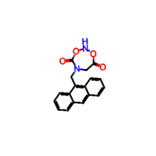 O=C1CN(Cc2c3ccccc3cc3ccccc23)C(=O)ONO1